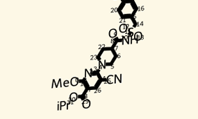 COc1nc(N2CCC(C(=O)NS(=O)(=O)Cc3ccc(Cl)cc3)CC2)c(C#N)cc1C(=O)OC(C)C